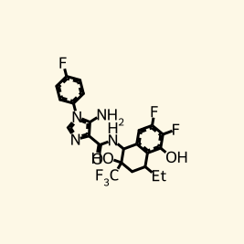 CCC1CC(O)(C(F)(F)F)C(NC(=O)c2ncn(-c3ccc(F)cc3)c2N)c2cc(F)c(F)c(O)c21